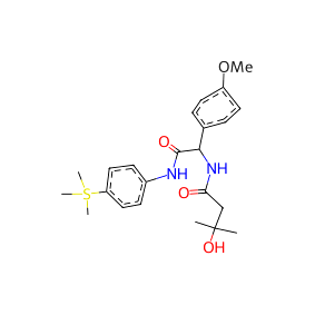 COc1ccc(C(NC(=O)CC(C)(C)O)C(=O)Nc2ccc(S(C)(C)C)cc2)cc1